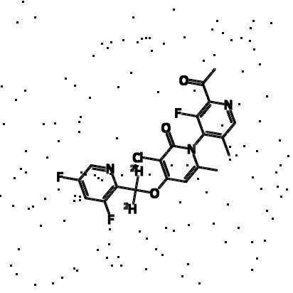 [2H]C([2H])(Oc1cc(C)n(-c2c(C)cnc(C(C)=O)c2F)c(=O)c1Cl)c1ncc(F)cc1F